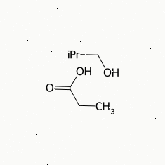 CC(C)CO.CCC(=O)O